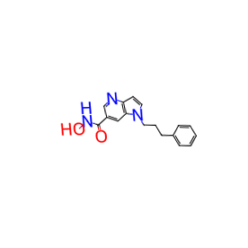 O=C(NO)c1cnc2ccn(CCCc3ccccc3)c2c1